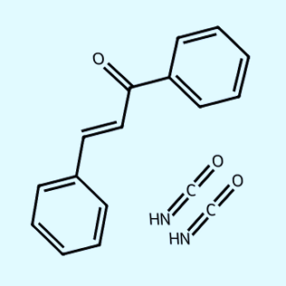 N=C=O.N=C=O.O=C(C=Cc1ccccc1)c1ccccc1